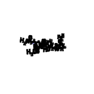 COC(=O)N[C@@H](CC/C=C/C(N)=O)C(=O)Nc1cccn(Cc2nc3cccc(OCC(F)F)c3s2)c1=O